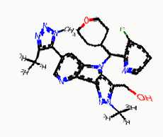 [2H]C([2H])([2H])c1nnn(C)c1-c1cnc2c3nn(C([2H])([2H])[2H])c(CO)c3n(C(c3ncccc3F)C3CCOCC3)c2c1